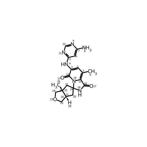 Cc1cc(Nc2cc(N)ncn2)c(=O)n2c1C(=O)NC21C[C@@H]2COC[C@]2(C)C1